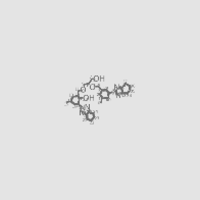 Cc1cc(COC(CO)COCc2cc(C)cc(-n3nc4ccccc4n3)c2O)cc(-n2nc3ccccc3n2)c1